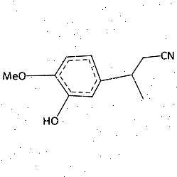 COc1ccc(C(C)CC#N)cc1O